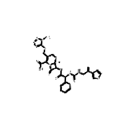 Cn1nnnc1SCC1=C(C(=O)O)N2C(=O)C(NC(=O)C(NC(=O)NCC(=O)c3ccoc3)C3=CCC=CC3)[C@@H]2SC1